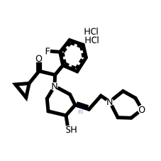 Cl.Cl.O=C(C1CC1)C(c1ccccc1F)N1CCC(S)/C(=C/CN2CCOCC2)C1